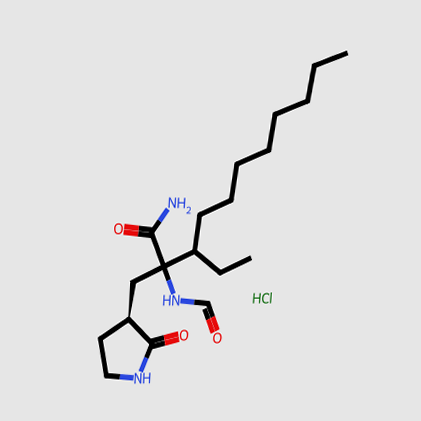 CCCCCCCCC(CC)C(C[C@@H]1CCNC1=O)(NC=O)C(N)=O.Cl